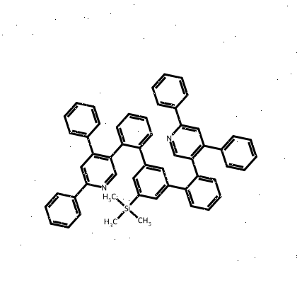 C[Si](C)(C)c1cc(-c2ccccc2-c2cnc(-c3ccccc3)cc2-c2ccccc2)cc(-c2ccccc2-c2cnc(-c3ccccc3)cc2-c2ccccc2)c1